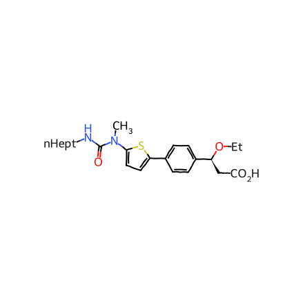 CCCCCCCNC(=O)N(C)c1ccc(-c2ccc([C@H](CC(=O)O)OCC)cc2)s1